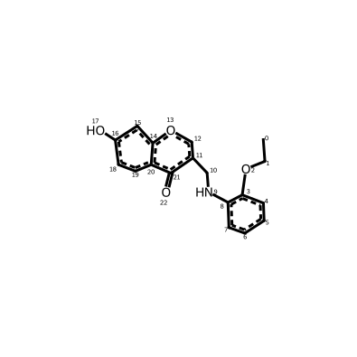 CCOc1ccccc1NCc1coc2cc(O)ccc2c1=O